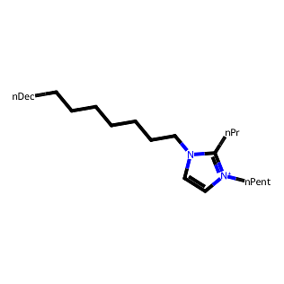 CCCCCCCCCCCCCCCCCn1cc[n+](CCCCC)c1CCC